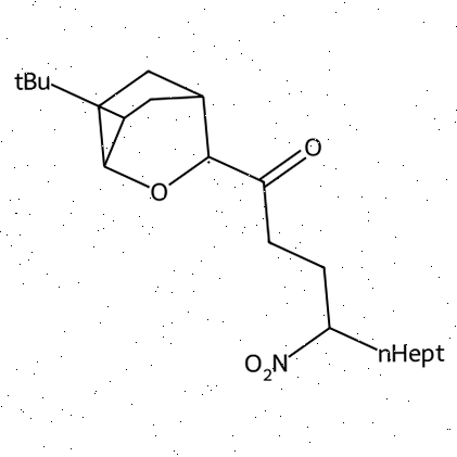 [CH2]CCCCCCC(CCC(=O)[C]1OC2CCC1CC2C(C)(C)C)[N+](=O)[O-]